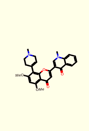 COc1cc(OC)c2c(=O)cc(-c3cn(C)c4ccccc4c3=O)oc2c1C1=CCN(C)CC1